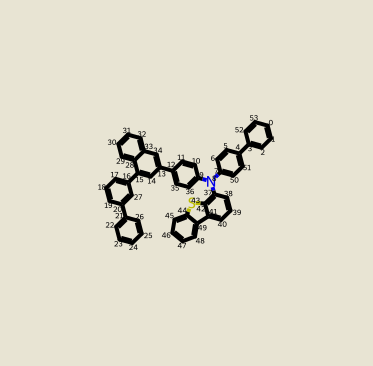 c1ccc(-c2ccc(N(c3ccc(-c4cc(-c5cccc(-c6ccccc6)c5)c5ccccc5c4)cc3)c3cccc4c3sc3ccccc34)cc2)cc1